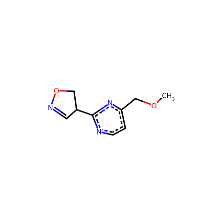 COCc1ccnc(C2C=NOC2)n1